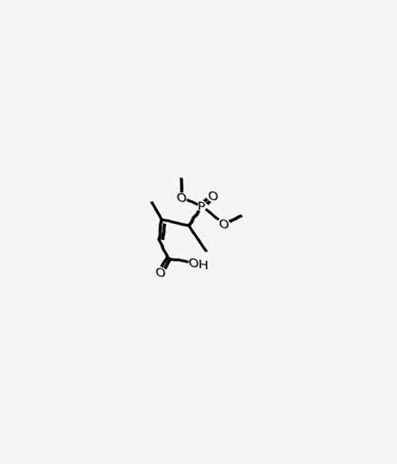 COP(=O)(OC)C(C)/C(C)=C\C(=O)O